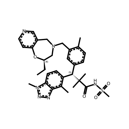 CC[C@@H]1CN(Cc2cc([C@@H](c3ccc4c(nnn4C)c3C)C(C)(C)C(=O)NS(C)(=O)=O)ccc2C)Cc2cnccc2O1